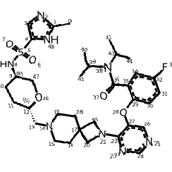 Cc1ncc(S(=O)(=O)N[C@@H]2CC[C@@H](CN3CCC4(CC3)CN(c3ncncc3Oc3ccc(F)cc3C(=O)N(C(C)C)C(C)C)C4)OC2)[nH]1